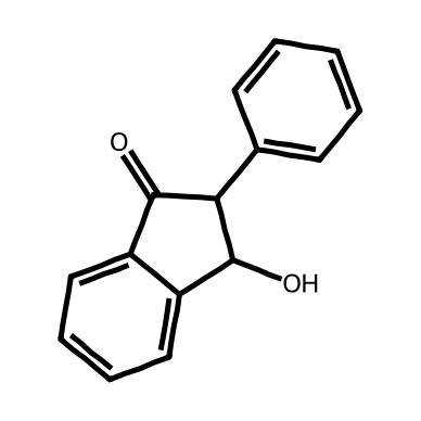 O=C1c2ccccc2C(O)C1c1ccccc1